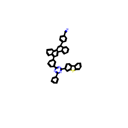 N#Cc1ccc(-c2cc3c4ccccc4c(-c4cccc(-c5nc(-c6ccccc6)nc(-c6ccc7c(c6)sc6ccccc67)n5)c4)cc3c3ccccc23)cc1